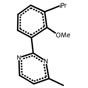 COc1c(-c2nccc(C)n2)cccc1C(C)C